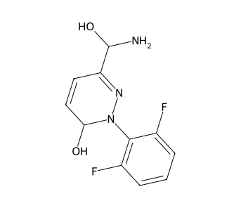 NC(O)C1=NN(c2c(F)cccc2F)C(O)C=C1